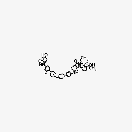 C=CCn1c(=O)c2cnc(Nc3ccc(N4CCC(CN5CCC(c6ccc(N[C@H]7CCC(=O)NC7=O)cc6F)CC5)CC4)cc3)nc2n1-c1cccc(C(C)(C)O)n1